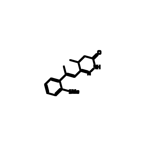 CSc1ccccc1C(C)=CC1=NNC(=O)CC1C